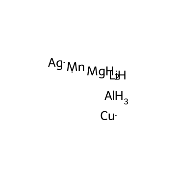 [Ag].[AlH3].[Cu].[LiH].[MgH2].[Mn]